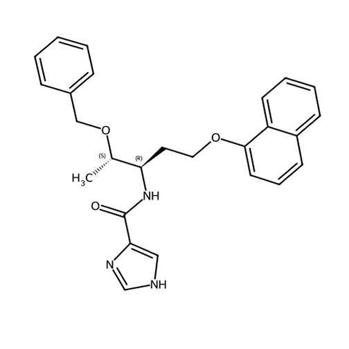 C[C@H](OCc1ccccc1)[C@@H](CCOc1cccc2ccccc12)NC(=O)c1c[nH]cn1